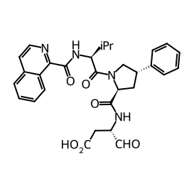 CC(C)[C@H](NC(=O)c1nccc2ccccc12)C(=O)N1C[C@H](c2ccccc2)C[C@H]1C(=O)N[C@H](C=O)CC(=O)O